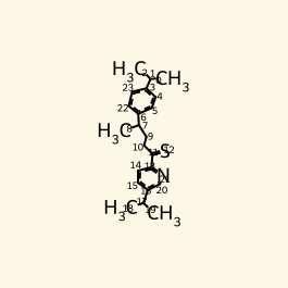 CC(C)c1ccc(C(C)CCC(=S)c2ccc(C(C)C)cn2)cc1